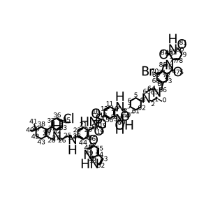 C[C@H]1CN([C@H]2CC[C@@H](CNc3ccc(S(=O)(=O)NC(=O)c4ccc(NCCNCC5=C(c6ccc(Cl)cc6)CC(C)(C)CC5)cc4Oc4cnc5[nH]ccc5c4)cc3[NH+]([O-])O)CC2)CCN1Cc1cc(Br)c2c(c1)C(=O)N(C1CCC(=O)NC1=O)C2